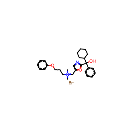 C[N+](C)(CCCOc1ccccc1)Cc1cnc(C(O)(c2ccccc2)C2CCCCC2)o1.[Br-]